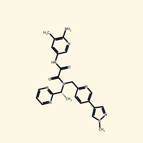 Cc1cc(NC(=O)C(=O)N(Cc2ccc(-c3cnn(C)c3)cn2)[C@H](C)c2ncccn2)cnc1N